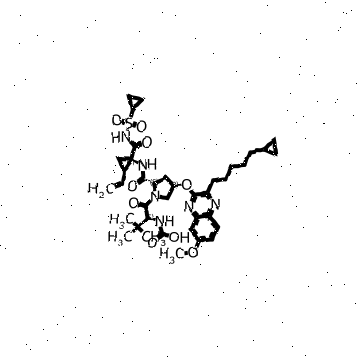 C=CC1C[C@]1(NC(=O)[C@@H]1C[C@@H](Oc2nc3cc(OC)ccc3nc2CCCCCC2CC2)CN1C(=O)[C@@H](NC(=O)O)C(C)(C)C)C(=O)NS(=O)(=O)C1CC1